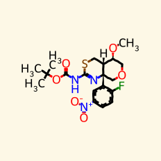 CO[C@H]1COC[C@]2(c3cc([N+](=O)[O-])ccc3F)N=C(NC(=O)OC(C)(C)C)SC[C@H]12